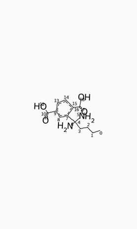 CCCCC(N)(N)c1cc(C(=O)O)ccc1C(=O)O